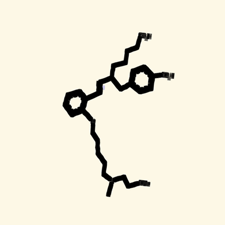 COCCN(C)CCCCCOc1ccccc1/C=C/C(CCCCC(=O)O)Cc1ccc(C(=O)O)cc1